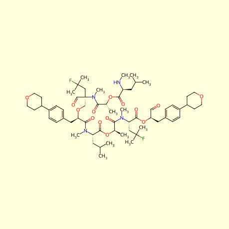 CN[C@@H](CC(C)C)C(=O)O[C@H](C)C(=O)N(C)[C@](C=O)(CO[C@H](Cc1ccc(C2CCOCC2)cc1)C(=O)N(C)[C@@H](CC(C)C)C(=O)O[C@H](C)C(=O)N(C)[C@@H](CC(C)(C)F)C(=O)O[C@@H](C=O)Cc1ccc(C2CCOCC2)cc1)CC(C)(C)F